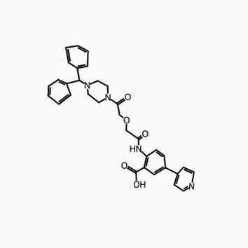 O=C(COCC(=O)N1CCN(C(c2ccccc2)c2ccccc2)CC1)Nc1ccc(-c2ccncc2)cc1C(=O)O